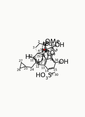 CO[C@@]12CC[C@@]3(C[C@@H]1[C@](C)(O)C(C)(C)C)[C@H]1Cc4ccc(O)c5c4[C@@]3(CCN1CC1CC1)[C@H]2O5.CS(=O)(=O)O